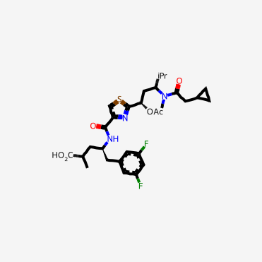 CC(=O)O[C@H](CC(C(C)C)N(C)C(=O)CC1CC1)c1nc(C(=O)N[C@@H](Cc2cc(F)cc(F)c2)CC(C)C(=O)O)cs1